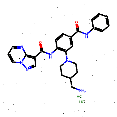 Cl.Cl.NCC1CCN(c2cc(C(=O)Nc3ccccc3)ccc2NC(=O)c2cnn3cccnc23)CC1